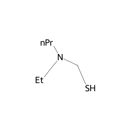 CCCN(CC)CS